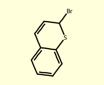 BrC1C=Cc2ccccc2S1